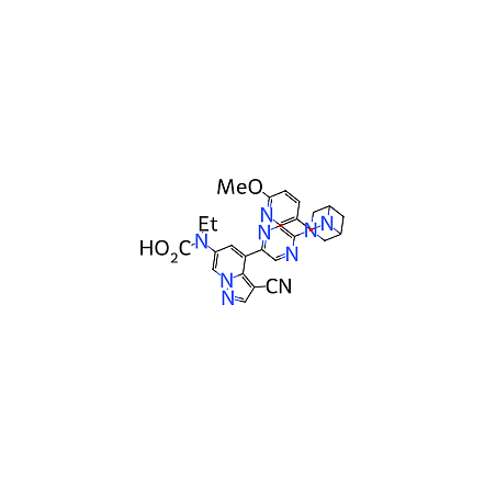 CCN(C(=O)O)c1cc(-c2cnc(N3CC4CC(C3)N4Cc3ccc(OC)nc3)cn2)c2c(C#N)cnn2c1